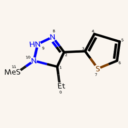 CCC1C(c2cccs2)=NNN1SC